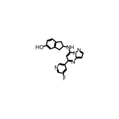 Oc1ccc2c(c1)CC(Nc1cc(-c3cncc(F)c3)nc3ccnn13)C2